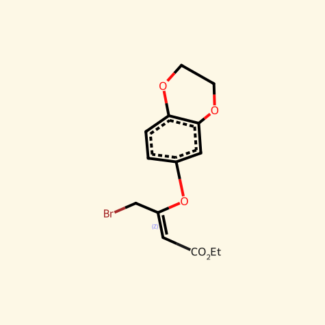 CCOC(=O)/C=C(/CBr)Oc1ccc2c(c1)OCCO2